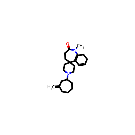 C=C1CCCCC(N2CCC3(CCC(=O)N(C)C4=C3C=CCC4)CC2)C1